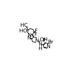 C#C[C@]1(O)CCC(F)(F)c2c3c(nn2C1)CCN(C(O)Nc1ccnc(Br)c1F)C3